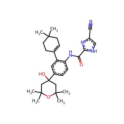 CC1(C)CC=C(c2cc(C3(O)CC(C)(C)OC(C)(C)C3)ccc2NC(=O)c2nc(C#N)c[nH]2)CC1